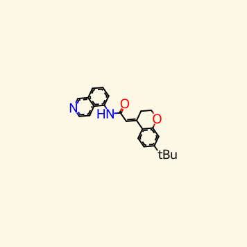 CC(C)(C)c1ccc2c(c1)OCC/C2=C\C(=O)Nc1cccc2cnccc12